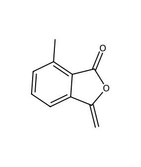 C=C1OC(=O)c2c(C)cccc21